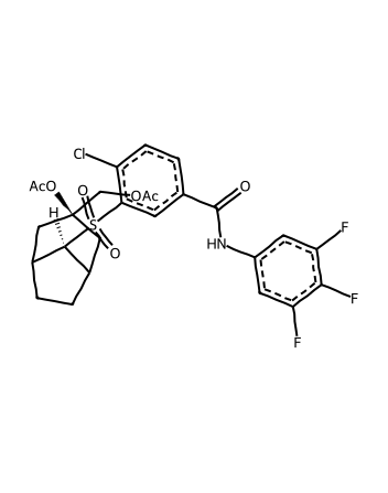 CC(=O)OC[C@]1(OC(C)=O)CC2CCC(C1)[C@H]2S(=O)(=O)c1cc(C(=O)Nc2cc(F)c(F)c(F)c2)ccc1Cl